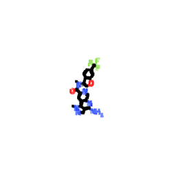 CN(C(=O)c1cc2c(cn1)nc(N)c1cnn(C)c12)[C@@H]1COc2cc(C(F)(F)F)ccc21